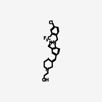 OCCN1CC[CH]C(=Cc2ccc3c(cnn3Cc3ccc(Cl)cc3C(F)(F)F)c2)C1